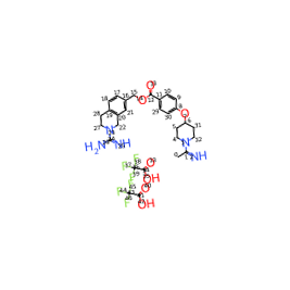 CC(=N)N1CCC(Oc2ccc(C(=O)OCc3ccc4c(c3)CN(C(=N)N)CC4)cc2)CC1.O=C(O)C(F)(F)F.O=C(O)C(F)(F)F